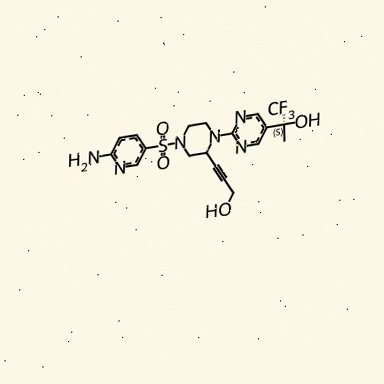 C[C@](O)(c1cnc(N2CCN(S(=O)(=O)c3ccc(N)nc3)CC2C#CCO)nc1)C(F)(F)F